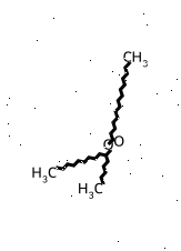 CCCCCCCCCCCCCCCC(=O)OCC(CCCCCC)CCCCCCCCCC